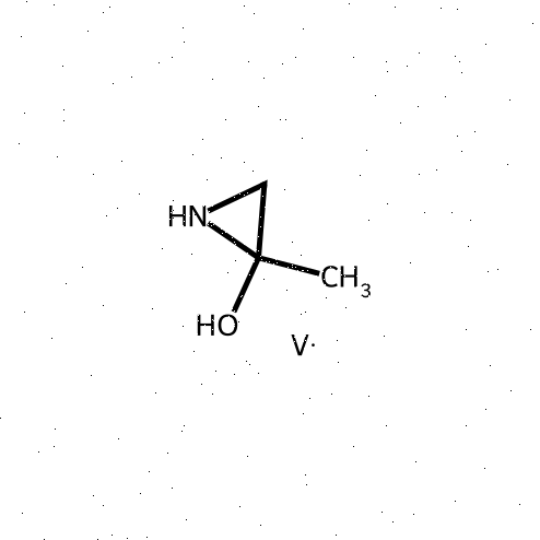 CC1(O)CN1.[V]